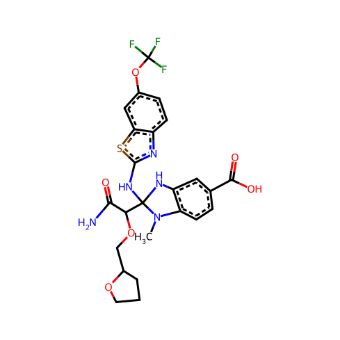 CN1c2ccc(C(=O)O)cc2NC1(Nc1nc2ccc(OC(F)(F)F)cc2s1)C(OCC1CCCO1)C(N)=O